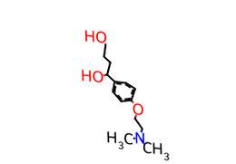 CN(C)CCOc1ccc(C(O)CCCO)cc1